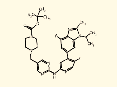 Cc1nc2c(F)cc(-c3cc(Nc4ncc(CN5CCN(C(=O)OC(C)(C)C)CC5)cn4)ncc3F)cc2n1C(C)C